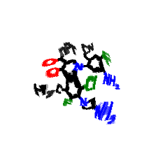 CCCC(=O)c1cn(-c2cc(N)c(F)cc2CC#N)c2c(Cl)c(N3CC(N)C3)c(F)c(C)c2c1=O